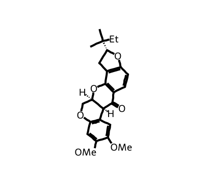 CCC(C)(C)[C@H]1Cc2c(ccc3c2O[C@@H]2COc4cc(OC)c(OC)cc4[C@@H]2C3=O)O1